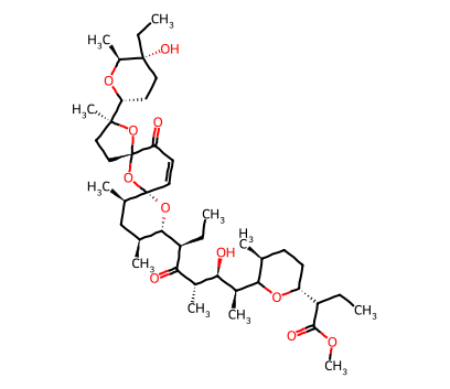 CCC(C(=O)OC)[C@H]1CC[C@H](C)C([C@@H](C)[C@H](O)[C@H](C)C(=O)[C@H](CC)[C@H]2O[C@]3(C=CC(=O)[C@]4(CC[C@@](C)([C@H]5CC[C@](O)(CC)[C@H](C)O5)O4)O3)[C@H](C)C[C@@H]2C)O1